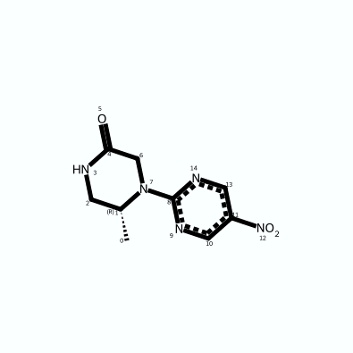 C[C@@H]1CNC(=O)CN1c1ncc([N+](=O)[O-])cn1